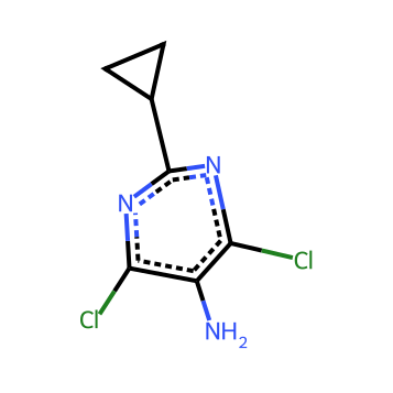 Nc1c(Cl)nc(C2CC2)nc1Cl